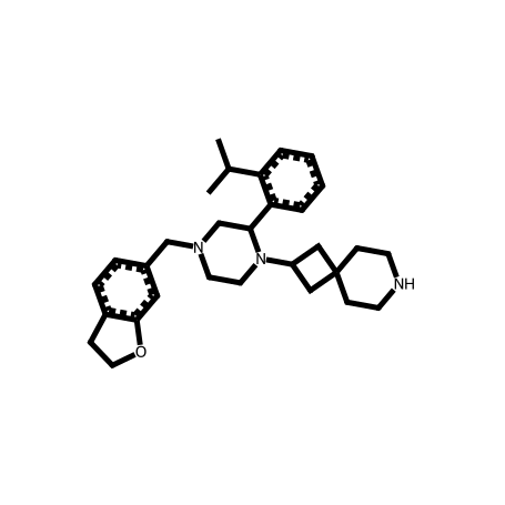 CC(C)c1ccccc1C1CN(Cc2ccc3c(c2)OCC3)CCN1C1CC2(CCNCC2)C1